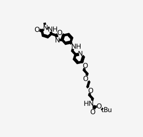 CN1NC(c2nc3cc(NCc4ccc(OCCOCCOCCNC(=O)OC(C)(C)C)cn4)ccc3o2)C=CC1=O